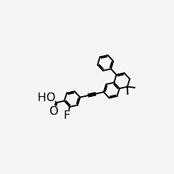 CC1(C)CC=C(c2ccccc2)c2cc(C#Cc3ccc(C(=O)O)c(F)c3)ccc21